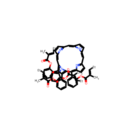 CCC=C(C)C(=O)Oc1ccccc1-c1c(-c2ccccc2OC(=O)C(C)=CCC)c2c(-c3ccccc3OC(=O)C(C)=CCC)c3nc(cc4ccc(cc5nc(cc1n2-c1ccccc1OC(=O)C(C)=CCC)C=C5)[nH]4)C=C3